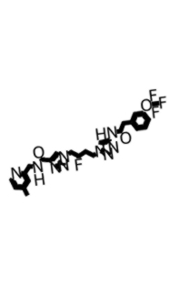 Cc1ccnc(CNC(=O)c2cn(CC(F)CCn3cc(NC(=O)Cc4cccc(OC(F)(F)F)c4)nn3)nn2)c1